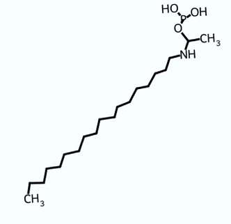 CCCCCCCCCCCCCCCCCCNC(C)OP(O)O